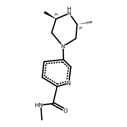 CNC(=O)c1ccc(N2C[C@@H](C)N[C@H](C)C2)cn1